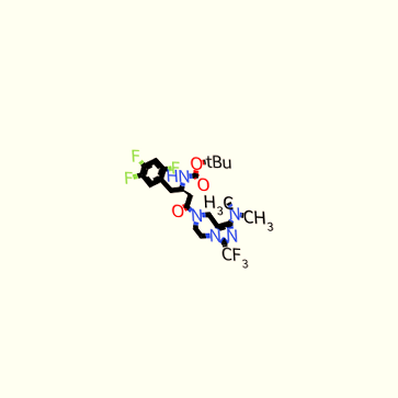 CN(C)c1nc(C(F)(F)F)n2c1CN(C(=O)C[C@@H](Cc1cc(F)c(F)cc1F)NC(=O)OC(C)(C)C)CC2